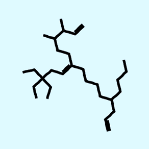 C=CCC(CCCC)CCCCC(=CCC(CC)(CC)CC)CCC(C)C(C)C=C